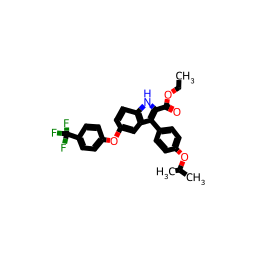 CCOC(=O)c1[nH]c2ccc(Oc3ccc(C(F)(F)F)cc3)cc2c1-c1ccc(OC(C)C)cc1